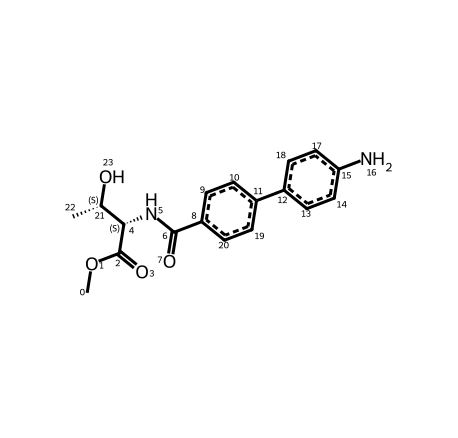 COC(=O)[C@@H](NC(=O)c1ccc(-c2ccc(N)cc2)cc1)[C@H](C)O